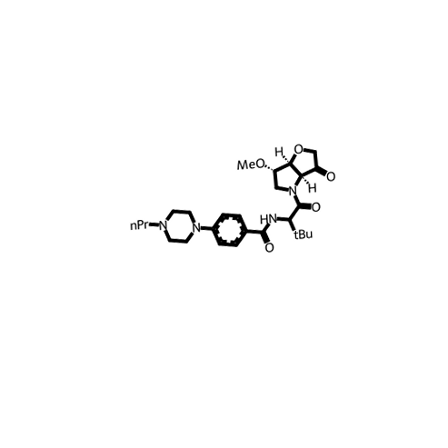 CCCN1CCN(c2ccc(C(=O)NC(C(=O)N3C[C@H](OC)[C@H]4OCC(=O)[C@H]43)C(C)(C)C)cc2)CC1